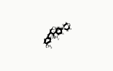 CCC(Cc1ccc(C)cc1)C(N)c1ccc(N2CCOCC2)cc1